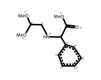 COC(=O)C(NCC(OC)OC)c1ccccc1